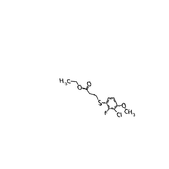 CCOC(=O)CCSc1ccc(OC)c(Cl)c1F